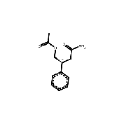 CC(=O)OC[C@@H](CC(N)=O)c1ccccc1